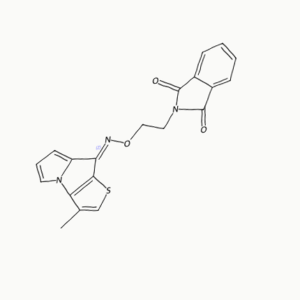 Cc1csc2c1-n1cccc1/C2=N/OCCN1C(=O)c2ccccc2C1=O